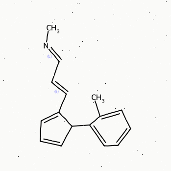 C/N=C/C=C/C1=CC=CC1c1ccccc1C